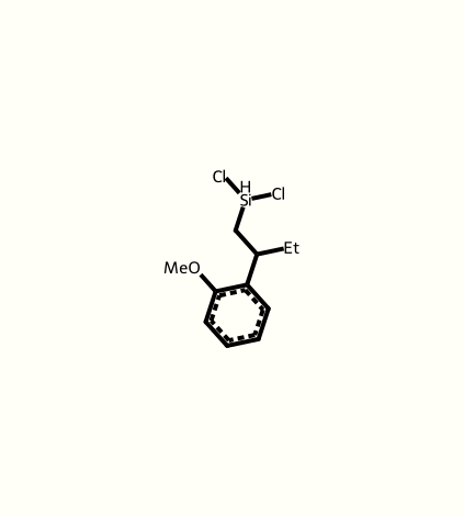 CCC(C[SiH](Cl)Cl)c1ccccc1OC